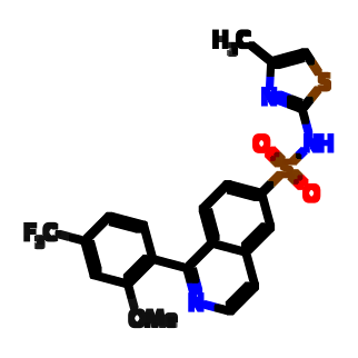 COc1cc(C(F)(F)F)ccc1-c1nccc2cc(S(=O)(=O)Nc3nc(C)cs3)ccc12